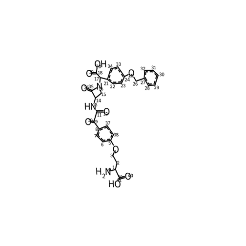 NC(CCOc1ccc(C(=O)C(=O)NC2CN(C(C(=O)O)c3ccc(OCc4ccccc4)cc3)C2=O)cc1)C(=O)O